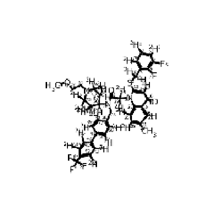 [2H]c1c([2H])c(F)c(F)c(C([2H])([2H])Sc2c([2H])c(=O)c3c([2H])c(C)c([2H])c([2H])c3n2C([2H])([2H])C(=O)N(Cc2c([2H])c([2H])c(-c3c([2H])c([2H])c(C(F)(F)F)c([2H])c3[2H])c([2H])c2[2H])C2([2H])C([2H])([2H])C([2H])([2H])N(CCOC)C([2H])([2H])C2([2H])[2H])c1[2H]